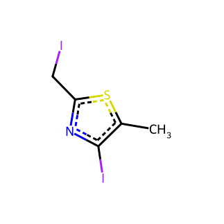 Cc1sc(CI)nc1I